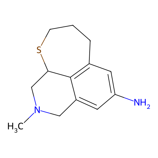 CN1Cc2cc(N)cc3c2C(C1)SCCC3